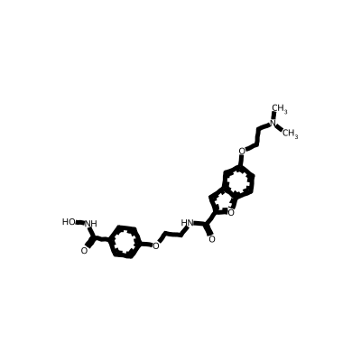 CN(C)CCOc1ccc2oc(C(=O)NCCOc3ccc(C(=O)NO)cc3)cc2c1